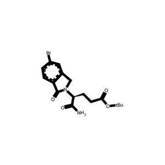 CC(C)(C)OC(=O)CC[C@@H](C(N)=O)N1Cc2cc(Br)ccc2C1=O